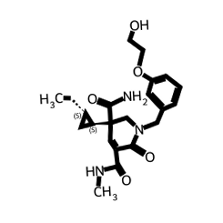 CC[C@H]1C[C@@H]1C1(C(N)=O)C=C(C(=O)NC)C(=O)N(Cc2cccc(OCCO)c2)C1